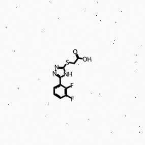 O=C(O)CSc1nnc(-c2cccc(F)c2F)[nH]1